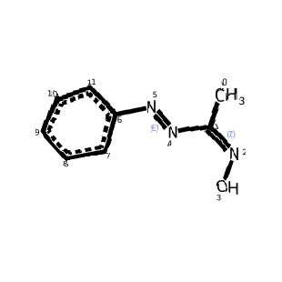 CC(=N/O)/N=N/c1ccccc1